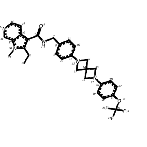 CCc1c(C(=O)NCc2ccc(N3CC4(C3)CN(c3ccc(OC(F)(F)F)cc3)C4)cc2)c2ccncc2n1C